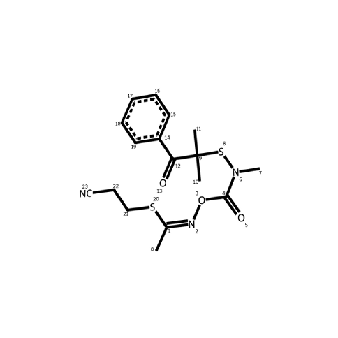 CC(=NOC(=O)N(C)SC(C)(C)C(=O)c1ccccc1)SCCC#N